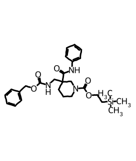 C[Si](C)(C)CCOC(=O)N1CCCC(CNC(=O)OCc2ccccc2)(C(=O)Nc2ccccc2)C1